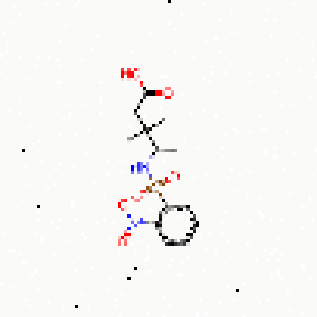 CC(NS(=O)(=O)c1ccccc1[N+](=O)[O-])C(C)(C)CC(=O)O